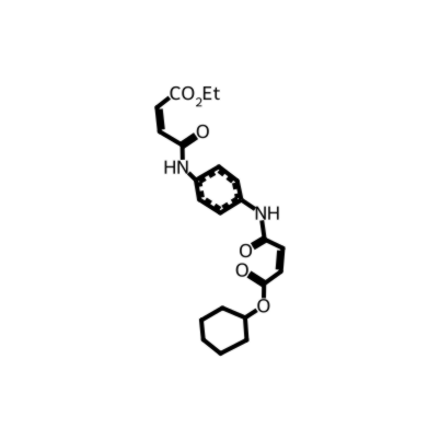 CCOC(=O)/C=C\C(=O)Nc1ccc(NC(=O)/C=C\C(=O)OC2CCCCC2)cc1